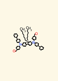 CCCCCCCC[Si]1(CCCCCCCC)c2cc(N(c3ccc(C=O)cc3)c3ccc(-c4ccccc4)cc3)ccc2-c2ccc(N(c3ccc(C=O)cc3)c3ccc(-c4ccccc4)cc3)cc21